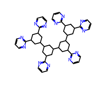 c1cnc(C2CC(c3ncccn3)CC(C3CC(c4ncccn4)CC(C4CC(c5ncccn5)CC(C5CC(c6ncccn6)CC(c6ncccn6)C5)C4)C3)C2)nc1